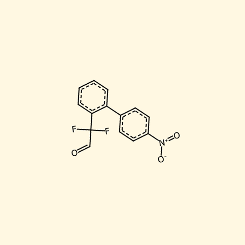 O=CC(F)(F)c1ccccc1-c1ccc([N+](=O)[O-])cc1